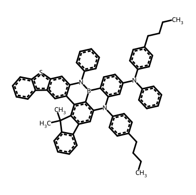 CCCCc1ccc(N(c2ccccc2)c2ccc3c(c2)N(c2ccc(CCCC)cc2)c2cc4c(c5c2B3N(c2ccccc2)c2cc3sc6ccccc6c3cc2-5)C(C)(C)c2ccccc2-4)cc1